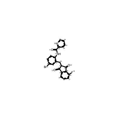 O=C(Nc1ccc(Br)cc1CC1C(=O)c2cccc(F)c2C1=O)c1ccccn1